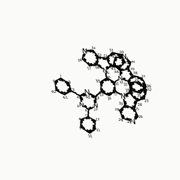 c1ccc(-c2nc(-c3ccccc3)nc(-c3cc(-n4c5ccccc5c5cnccc54)c(-n4c5ccccc5c5cnccc54)c(-n4c5ccccc5c5cnccc54)c3)n2)cc1